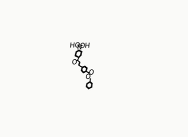 O=C(/C=C/c1ccc(C(=O)OCc2ccccc2)cc1)c1ccc(N(O)O)cc1